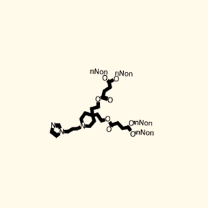 CCCCCCCCCOC(CCC(=O)OCCC1(CCOC(=O)CCC(OCCCCCCCCC)OCCCCCCCCC)CCN(CCCn2ccnc2)CC1)OCCCCCCCCC